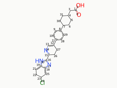 O=C(O)CC1CCC(c2ccc(C3=CN=C(c4nc5c([nH]4)=CCC(Cl)C=5)CC3)cc2)CC1